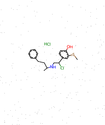 CSc1cc(C(Cl)CNC(C)CCc2ccccc2)ccc1O.Cl